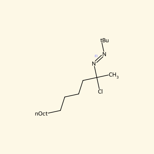 CCCCCCCCCCCCC(C)(Cl)/N=N/C(C)(C)C